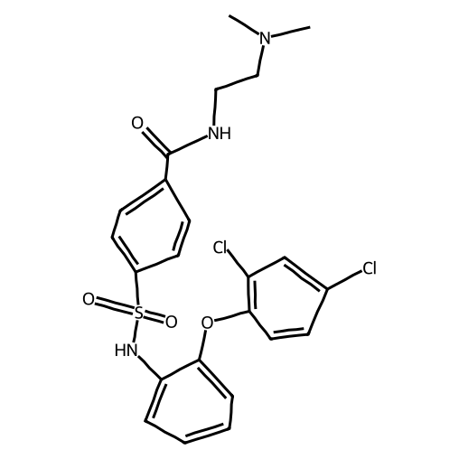 CN(C)CCNC(=O)c1ccc(S(=O)(=O)Nc2ccccc2Oc2ccc(Cl)cc2Cl)cc1